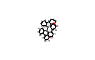 c1ccc(-c2ccccc2CB(c2ccccc2-c2ccccc2)c2ccccc2-c2ccccc2)cc1